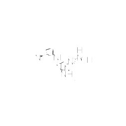 CNC1CN(c2cc(CNc3cccc(C#N)c3)nc(N)n2)C1